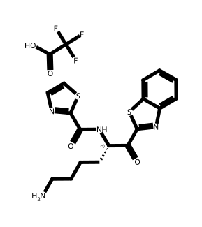 NCCCC[C@H](NC(=O)c1nccs1)C(=O)c1nc2ccccc2s1.O=C(O)C(F)(F)F